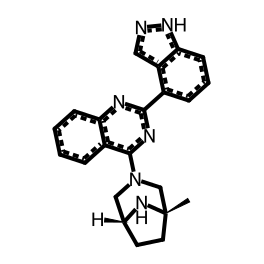 C[C@]12CC[C@H](CN(c3nc(-c4cccc5[nH]ncc45)nc4ccccc34)C1)N2